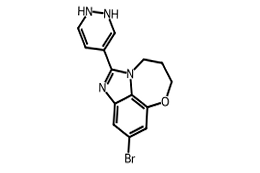 Brc1cc2c3c(c1)nc(C1=CNNC=C1)n3CCCO2